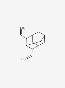 C=CC1C2CC3CC(C2)C(C=C)C1C3